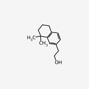 CC1(C)CCCc2ccc(CCO)cc21